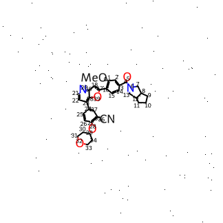 COc1cc(C(=O)N2CC3CCCC3C2)ccc1-c1cc2nccc(-c3ccc(OC4CCOCC4)c(C#N)c3)c2o1